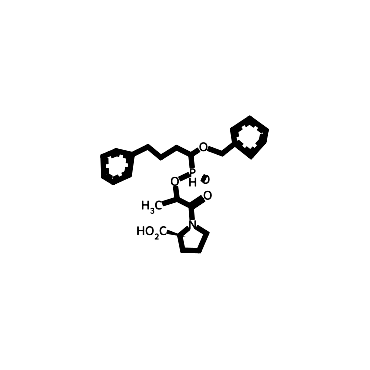 CC(O[PH](=O)C(CCCc1ccccc1)OCc1ccccc1)C(=O)N1CCC[C@H]1C(=O)O